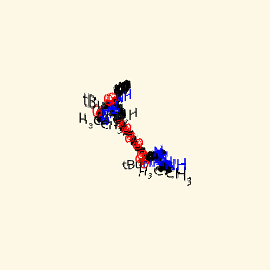 Cc1[nH]nc(Nc2ncnc3cc(OCCOCCOCCOCCOc4ccc5c(c4)CN(C(=O)C(NC(=O)C(C)N(C)C(=O)O)C(C)(C)C)C(C(=O)N[C@@H]4CCCc6ccccc64)C5)c(S(=O)(=O)C(C)(C)C)cc23)c1C